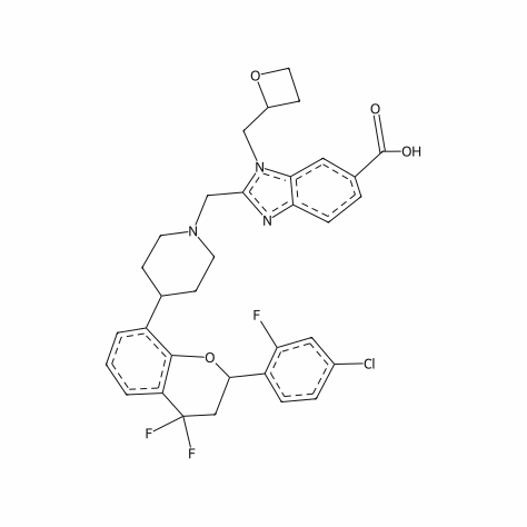 O=C(O)c1ccc2nc(CN3CCC(c4cccc5c4OC(c4ccc(Cl)cc4F)CC5(F)F)CC3)n(CC3CCO3)c2c1